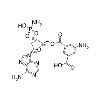 Nc1cc(C(=O)O)cc(C(=O)OC[C@H]2O[C@@H](n3cnc4c(N)ncnc43)C[C@@H]2OP(N)(=O)O)c1